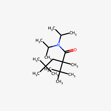 CC(C)N(C(=O)C(C)(CC(C)(C)C)C(C)(C)C)C(C)C